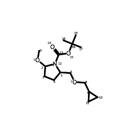 COC1CCC(COCC2CC2)N1C(=O)OC(C)(C)C